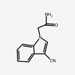 N#Cc1cn(CC(N)=O)c2ccccc12